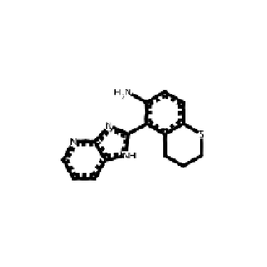 Nc1ccc2c(c1-c1nc3ncccc3[nH]1)CCCS2